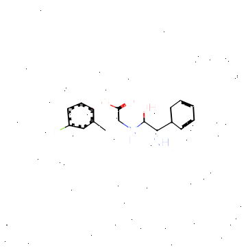 N[C@@H](C1C=CC=CC1)C(O)N[C@H](Cc1cccc(F)c1)C(=O)O